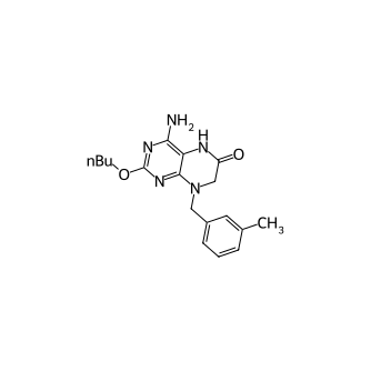 CCCCOc1nc(N)c2c(n1)N(Cc1cccc(C)c1)CC(=O)N2